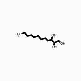 CCCCCCCCCC(O)C(O)CO